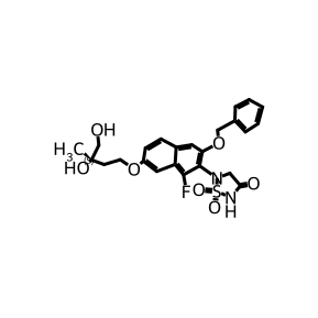 C[C@@](O)(CO)CCOc1ccc2cc(OCc3ccccc3)c(N3CC(=O)NS3(=O)=O)c(F)c2c1